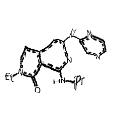 CCn1ccc2cc(Nc3cnccn3)nc(NC(C)C)c2c1=O